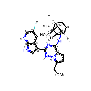 COCc1ccc2c(N[C@H]3[C@H]4CC[C@H](CC4)[C@@H]3C(=O)O)nc(-c3c[nH]c4ncc(F)cc34)nn12